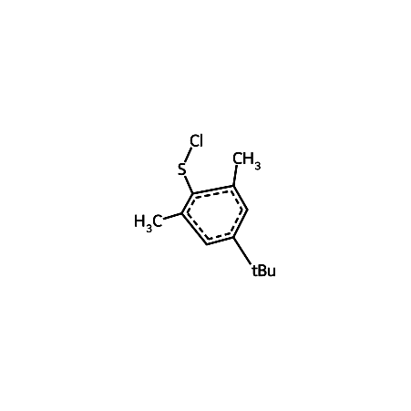 Cc1cc(C(C)(C)C)cc(C)c1SCl